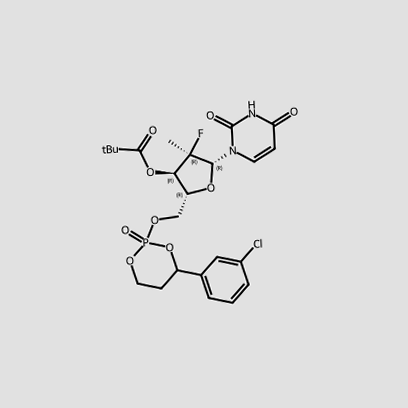 CC(C)(C)C(=O)O[C@@H]1[C@@H](COP2(=O)OCCC(c3cccc(Cl)c3)O2)O[C@@H](n2ccc(=O)[nH]c2=O)[C@]1(C)F